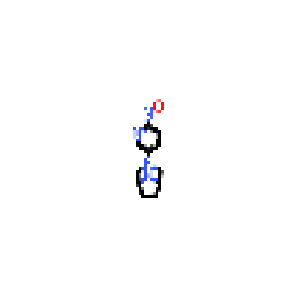 CN1C2CCC1CN(c1ccc(N=O)nc1)C2